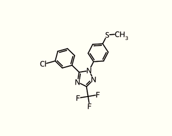 CSc1ccc(-n2nc(C(F)(F)F)nc2-c2cccc(Cl)c2)cc1